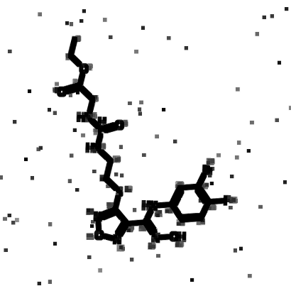 CCOC(=O)CN[PH](=O)NCCSc1nonc1/C(=N/O)Nc1ccc(F)c(Br)c1